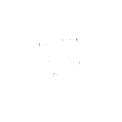 CCOP(=O)(O)OCC.[KH]